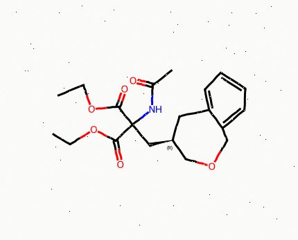 CCOC(=O)C(C[C@@H]1COCc2ccccc2C1)(NC(C)=O)C(=O)OCC